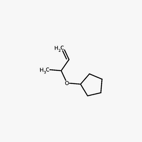 C=CC(C)OC1CCCC1